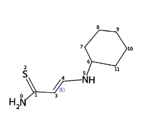 NC(=S)/C=C/NC1CCCCC1